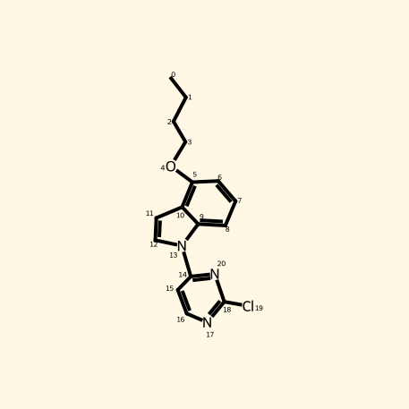 CCCCOc1cccc2c1ccn2-c1ccnc(Cl)n1